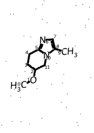 COC1CCc2ncc(C)n2C1